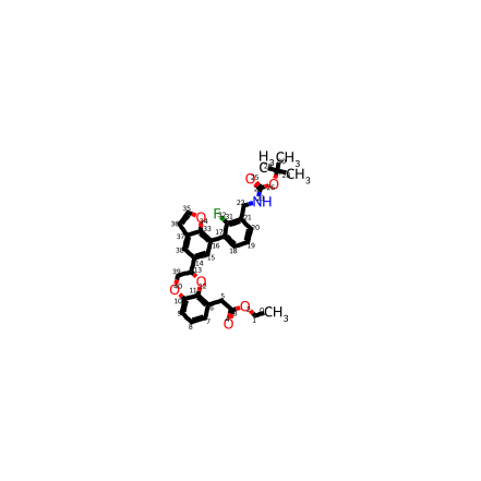 CCOC(=O)Cc1cccc2c1OC(c1cc(-c3cccc(CNC(=O)OC(C)(C)C)c3F)c3occc3c1)CO2